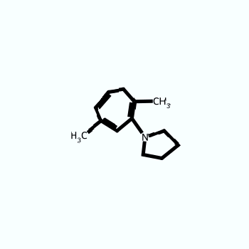 CC1=CC(N2CCCC2)=C(C)CC=C1